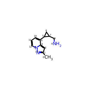 Cc1cc2c(C3CC3CN)cccn2n1